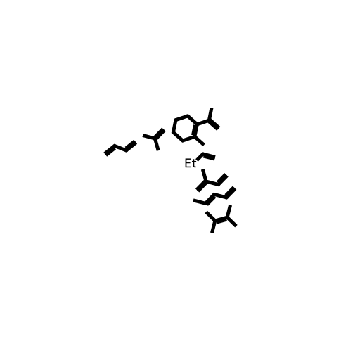 C=C(C)C.C=C(C)C1=C(C)CCCC1.C=CC(=C)C.C=CC=C.C=CC=CC.C=CCC.CC(C)=C(C)C